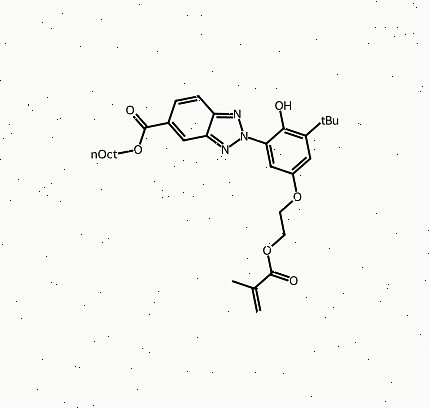 C=C(C)C(=O)OCCOc1cc(-n2nc3ccc(C(=O)OCCCCCCCC)cc3n2)c(O)c(C(C)(C)C)c1